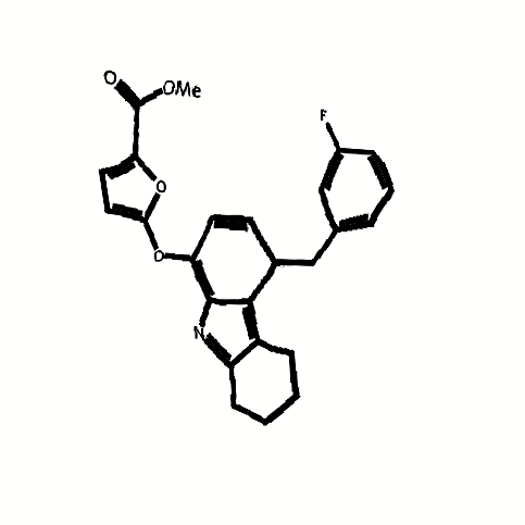 COC(=O)c1ccc(OC2=C3N=C4CCCCC4=C3C(Cc3cccc(F)c3)C=C2)o1